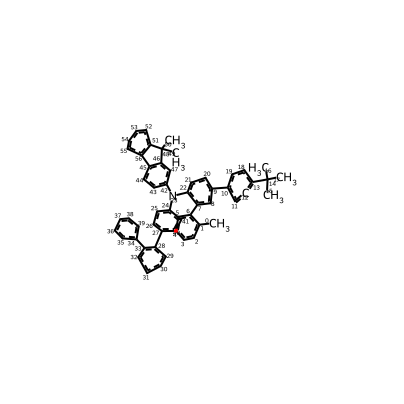 Cc1ccccc1-c1cc(-c2ccc(C(C)(C)C)cc2)ccc1N(c1ccc(-c2ccccc2-c2ccccc2)cc1)c1ccc2c(c1)C(C)(C)c1ccccc1-2